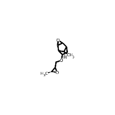 C[C@@H]1C2CC(OCC3O[C@H]3C)C1C1OC12